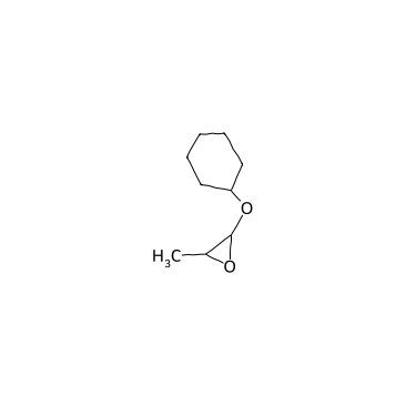 CC1OC1OC1CCCCC1